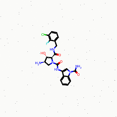 NC(=O)n1cc(NC(=O)N2C[C@@H](N)[C@H](O)[C@H]2C(=O)NCc2cccc(Cl)c2F)c2ccccc21